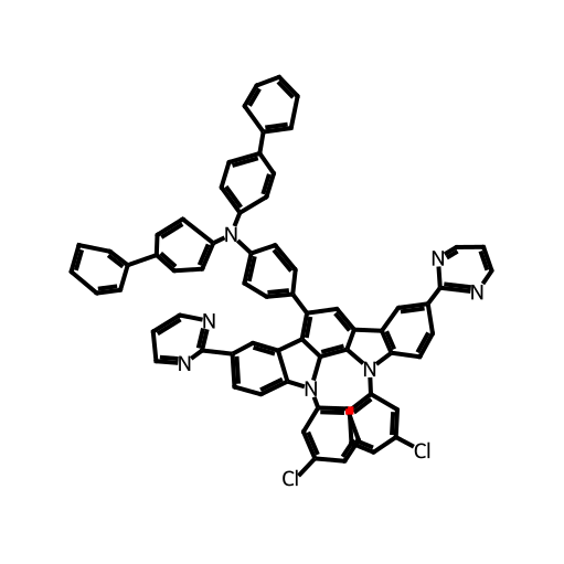 Clc1cccc(-n2c3ccc(-c4ncccn4)cc3c3cc(-c4ccc(N(c5ccc(-c6ccccc6)cc5)c5ccc(-c6ccccc6)cc5)cc4)c4c5cc(-c6ncccn6)ccc5n(-c5cccc(Cl)c5)c4c32)c1